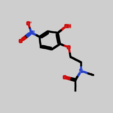 CC(=O)N(C)CCOc1ccc([N+](=O)[O-])cc1O